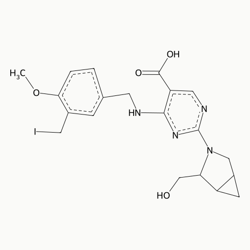 COc1ccc(CNc2nc(N3CC4CC4C3CO)ncc2C(=O)O)cc1CI